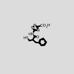 O=C(O)c1nsc(NC(=O)C(CS)Cc2ccccc2)n1